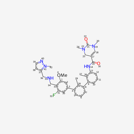 COc1cc(-c2cccc(-c3cccc(NC(=O)C4=CN(C)C(=O)N(C)C4)c3C)c2C)cc(F)c1CNCc1ccnn1C